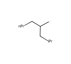 [CH2]C(CCCC)CC(C)C